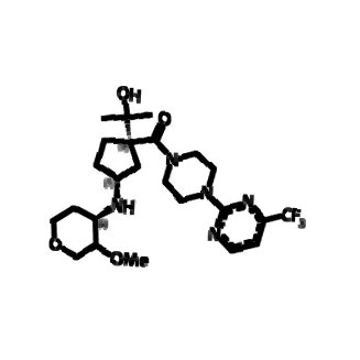 COC1COCC[C@H]1N[C@H]1CC[C@](C(=O)N2CCN(c3nccc(C(F)(F)F)n3)CC2)(C(C)(C)O)C1